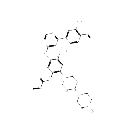 C=CC(=O)Nc1cc(Nc2cc(-c3ccc(C=N)c(NC)c3)ncn2)c(OC)cc1N1CCC(N2CCN(C(C)C)CC2)CC1